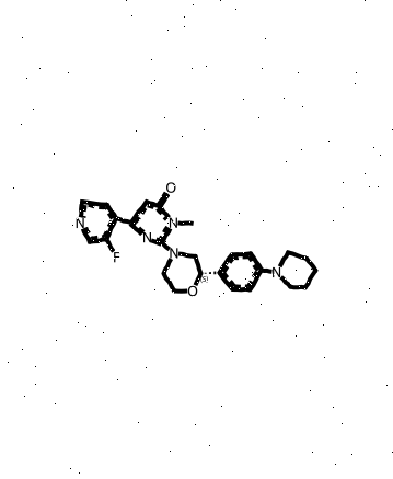 Cn1c(N2CCO[C@@H](c3ccc(N4CCCCC4)cc3)C2)nc(-c2ccncc2F)cc1=O